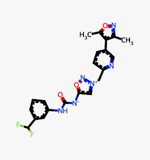 Cc1noc(C)c1-c1ccc(C[n+]2cc([N-]C(=O)Nc3cccc(C(F)F)c3)on2)nc1